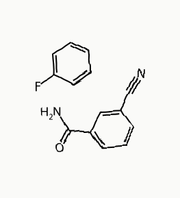 Fc1ccccc1.N#Cc1cccc(C(N)=O)c1